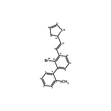 Cc1ccccc1-c1cccc(C=CC2CC=CS2)c1Br